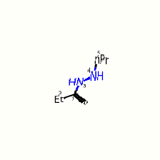 C=C(CC)NNCCC